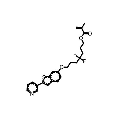 C=C(C)C(=O)OCCCC(F)(F)CCCOc1ccc2cc(-c3cccnc3)sc2c1